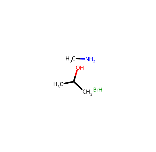 Br.CC(C)O.CN